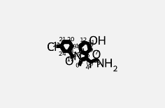 Cc1c([C@H](C)C(N)=O)c2cc(O)ccc2n1C(=O)c1cccc(Cl)c1